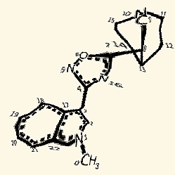 Cn1cc(-c2noc(C3CN4CCC3CC4)n2)c2ccccc21